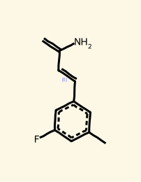 C=C(N)/C=C/c1cc(C)cc(F)c1